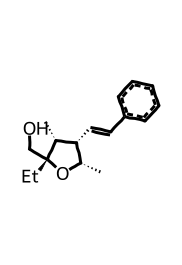 CC[C@]1(CO)O[C@@H](C)[C@@H](/C=C/c2ccccc2)[C@H]1C